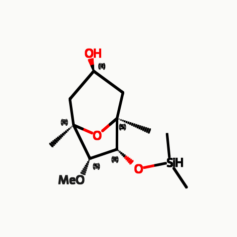 CO[C@H]1[C@@H](O[SiH](C)C)[C@]2(C)C[C@H](O)C[C@@]1(C)O2